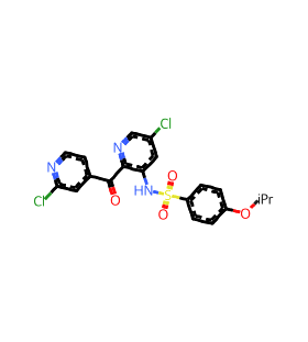 CC(C)Oc1ccc(S(=O)(=O)Nc2cc(Cl)cnc2C(=O)c2ccnc(Cl)c2)cc1